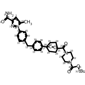 Cc1cc(C(N)=O)nn1-c1ccc(Cc2ccc(C34CCC(C(=O)N5CCN(C(=O)OC(C)(C)C)CC5)(CC3)CC4)cc2)cc1